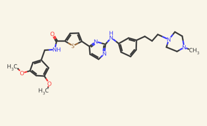 COc1cc(CNC(=O)c2ccc(-c3ccnc(Nc4cccc(CCCN5CCN(C)CC5)c4)n3)s2)cc(OC)c1